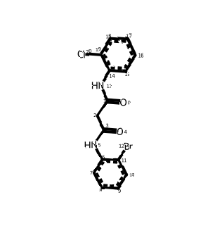 O=C(CC(=O)Nc1ccccc1Br)Nc1ccccc1Cl